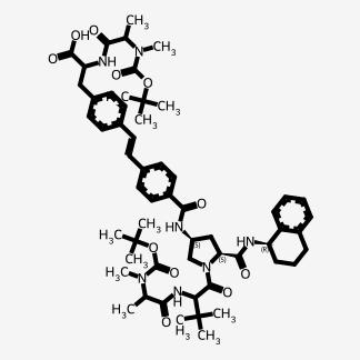 CC(C(=O)NC(Cc1ccc(C=Cc2ccc(C(=O)N[C@H]3C[C@@H](C(=O)N[C@@H]4CCCc5ccccc54)N(C(=O)C(NC(=O)C(C)N(C)C(=O)OC(C)(C)C)C(C)(C)C)C3)cc2)cc1)C(=O)O)N(C)C(=O)OC(C)(C)C